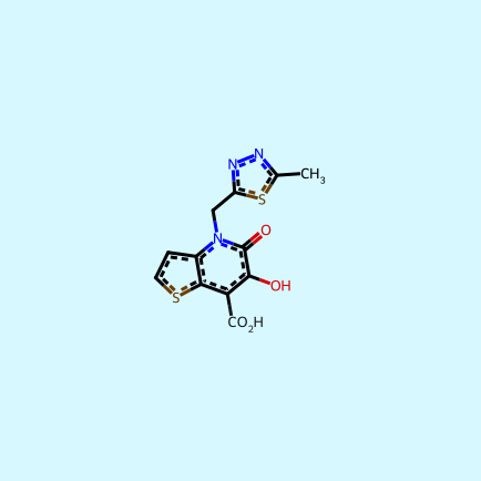 Cc1nnc(Cn2c(=O)c(O)c(C(=O)O)c3sccc32)s1